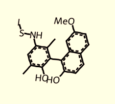 COc1ccc2ccc(O)c(-c3c(C)c(NSI)cc(C)c3O)c2c1